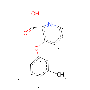 Cc1cccc(Oc2cccnc2C(=O)O)c1